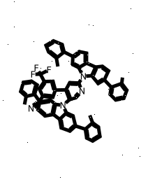 Cc1ccccc1-c1ccc2c3ccc(-c4ccccc4C)cc3n(-c3cc(-c4cc(C#N)cc(C(F)(F)F)c4)c(-n4c5cc(-c6ccccc6C)ccc5c5ccc(-c6ccccc6C)cc54)cn3)c2c1